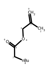 C=C(C)COC(=O)CCCCC